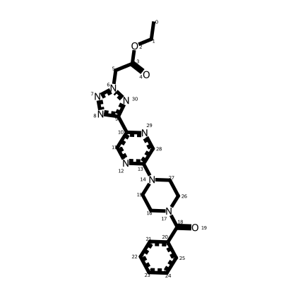 CCOC(=O)Cn1nnc(-c2cnc(N3CCN(C(=O)c4ccccc4)CC3)cn2)n1